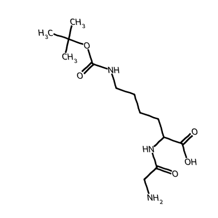 CC(C)(C)OC(=O)NCCCCC(NC(=O)CN)C(=O)O